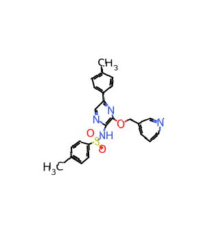 Cc1ccc(-c2cnc(NS(=O)(=O)c3ccc(C)cc3)c(OCc3cccnc3)n2)cc1